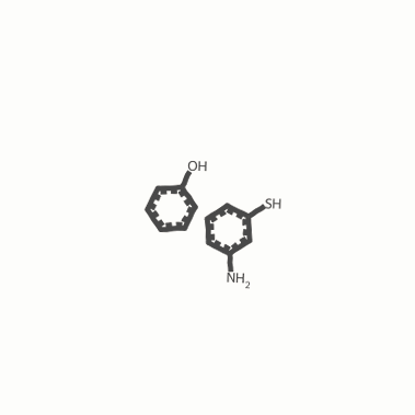 Nc1cccc(S)c1.Oc1ccccc1